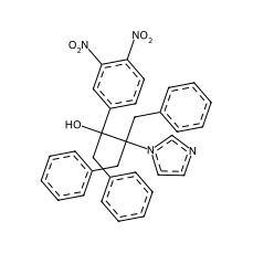 O=[N+]([O-])c1ccc(C(O)(Cc2ccccc2)C(Cc2ccccc2)(Cc2ccccc2)n2ccnc2)cc1[N+](=O)[O-]